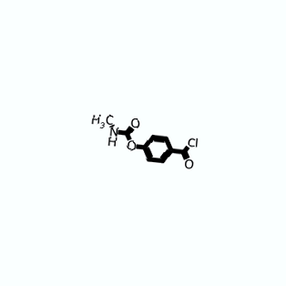 CNC(=O)Oc1ccc(C(=O)Cl)cc1